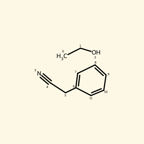 CCO.N#CCc1ccccc1